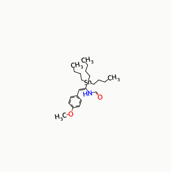 CCC[CH2][Sn]([CH2]CCC)([CH2]CCC)/[C](=C/c1ccc(OC)cc1)NC=O